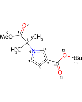 COC(=O)C(C)(C)n1ccc(C(=O)OC(C)(C)C)c1